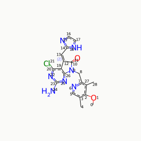 COc1c(C)cnc(CN2C(=O)/C(=C\c3ncc[nH]3)c3c(Cl)nc(N)nc32)c1C